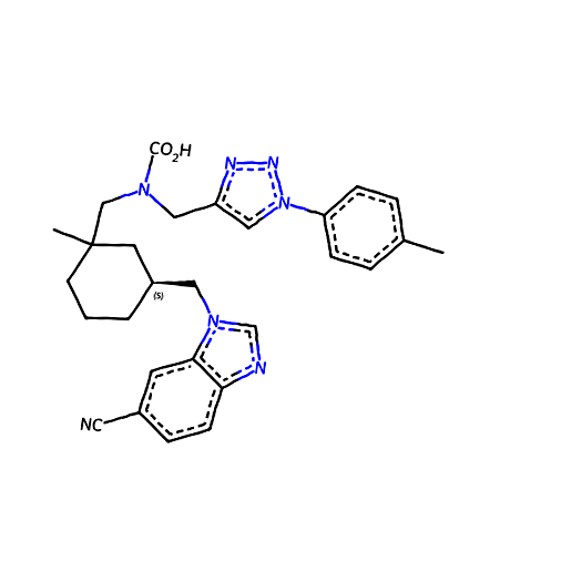 Cc1ccc(-n2cc(CN(CC3(C)CCC[C@H](Cn4cnc5ccc(C#N)cc54)C3)C(=O)O)nn2)cc1